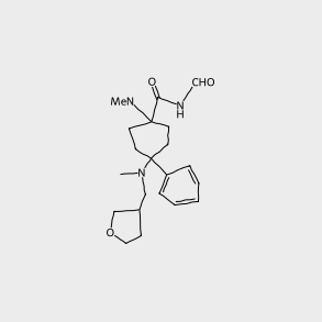 CNC1(C(=O)NC=O)CCC(c2ccccc2)(N(C)CC2CCOC2)CC1